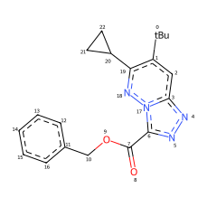 CC(C)(C)c1cc2nnc(C(=O)OCc3ccccc3)n2nc1C1CC1